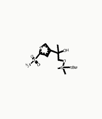 CC(O)(CO[Si](C)(C)C(C)(C)C)c1csc(S(N)(=O)=O)c1